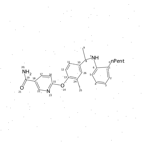 CCCCCc1ccccc1NC(C)c1ccc(Oc2ccc(C(N)=O)cn2)c(C)c1